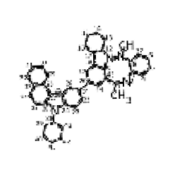 Cc1nc2ccccc2n(C)n2c3ccccc3c3cc(-c4ccc5c(c4)c4c6ccccc6ccc4n5-c4ccccc4)cc1c32